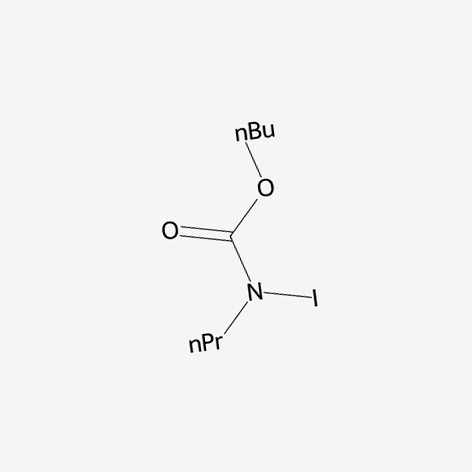 CCCCOC(=O)N(I)CCC